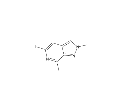 Cc1nc(I)cc2cn(C)nc12